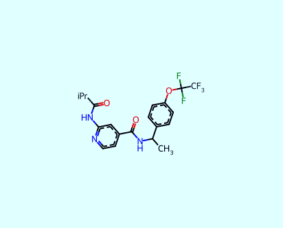 CC(C)C(=O)Nc1cc(C(=O)NC(C)c2ccc(OC(F)(F)C(F)(F)F)cc2)ccn1